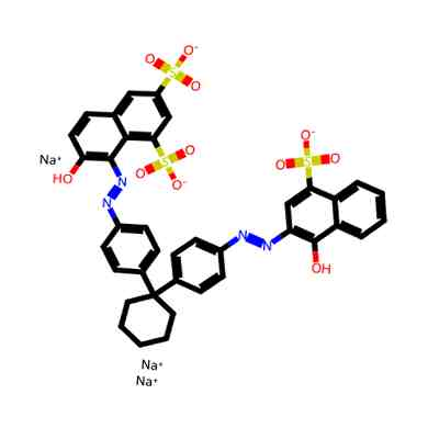 O=S(=O)([O-])c1cc(S(=O)(=O)[O-])c2c(N=Nc3ccc(C4(c5ccc(N=Nc6cc(S(=O)(=O)[O-])c7ccccc7c6O)cc5)CCCCC4)cc3)c(O)ccc2c1.[Na+].[Na+].[Na+]